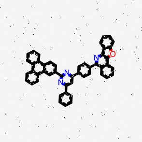 c1ccc(-c2cc(-c3ccc(-c4nc5c6ccccc6oc5c5ccccc45)cc3)nc(-c3ccc4c5ccccc5c5ccccc5c4c3)n2)cc1